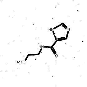 COCCNC(=O)c1cnc[nH]1